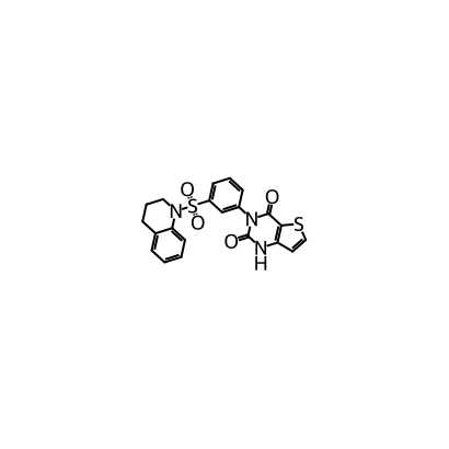 O=c1[nH]c2ccsc2c(=O)n1-c1cccc(S(=O)(=O)N2CCCc3ccccc32)c1